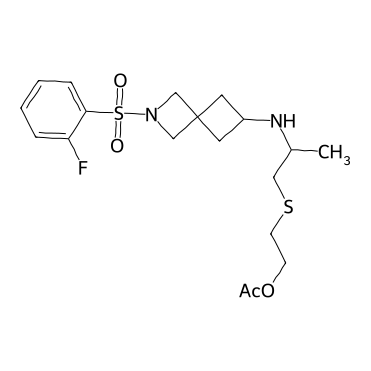 CC(=O)OCCSCC(C)NC1CC2(C1)CN(S(=O)(=O)c1ccccc1F)C2